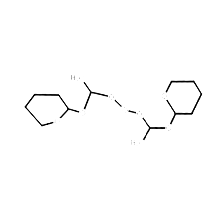 CC(OOOC(C)OC1CCCCO1)OC1CCCCO1